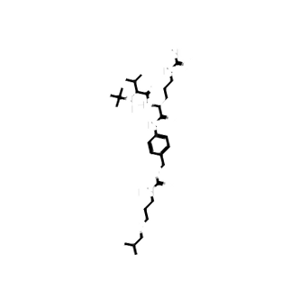 CC(C)COCCCNC(=O)OCc1ccc(NC(=O)[C@H](CCCNC(N)=O)NC(=O)[C@@H](NC(C)(C)C)C(C)C)cc1